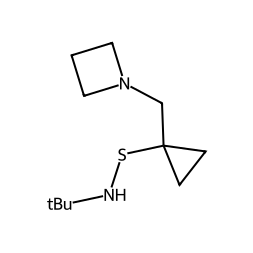 CC(C)(C)NSC1(CN2CCC2)CC1